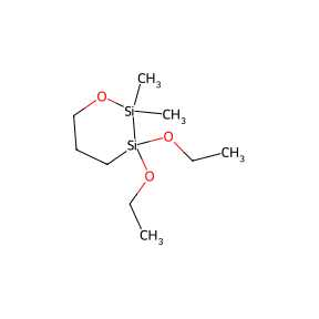 CCO[Si]1(OCC)CCCO[Si]1(C)C